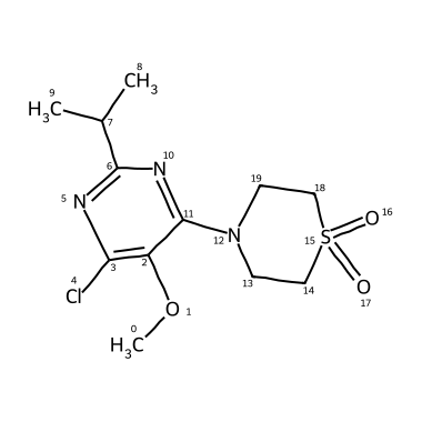 COc1c(Cl)nc(C(C)C)nc1N1CCS(=O)(=O)CC1